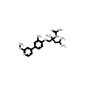 COc1cc(-c2ccc(OCC(C)(CC(C)C)NC(=O)O)c(C)c2)ccn1